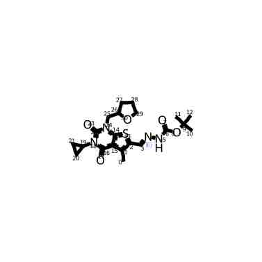 Cc1c(/C=N/NC(=O)OC(C)(C)C)sc2c1c(=O)n(C1CC1)c(=O)n2CC1CCCO1